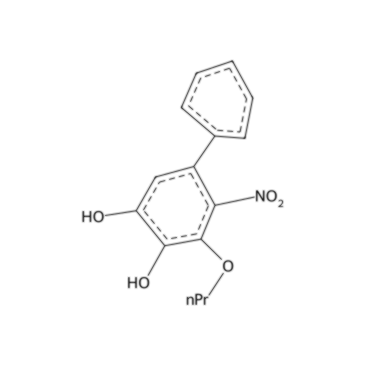 CCCOc1c(O)c(O)cc(-c2ccccc2)c1[N+](=O)[O-]